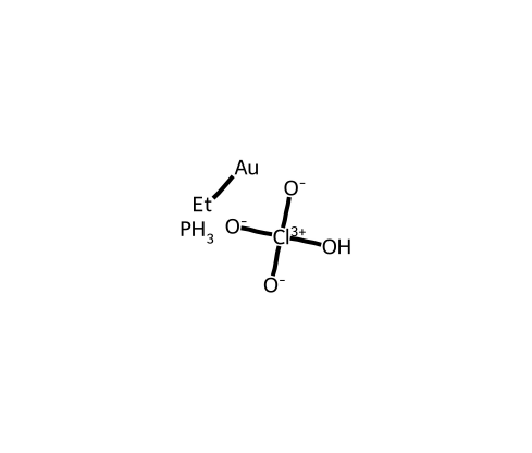 C[CH2][Au].P.[O-][Cl+3]([O-])([O-])O